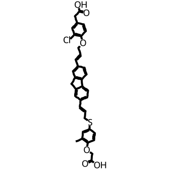 Cc1cc(SC/C=C/c2ccc3c(c2)Cc2cc(/C=C/COc4ccc(CC(=O)O)cc4Cl)ccc2-3)ccc1OCC(=O)O